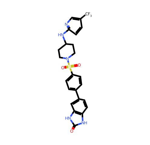 O=c1[nH]c2ccc(-c3ccc(S(=O)(=O)N4CCC(Nc5ccc(C(F)(F)F)cn5)CC4)cc3)cc2[nH]1